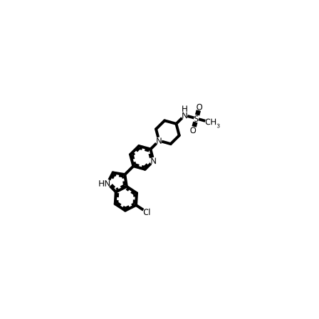 CS(=O)(=O)NC1CCN(c2ccc(-c3c[nH]c4ccc(Cl)cc34)cn2)CC1